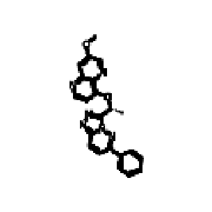 COc1cnc2c(O[C@H](C)c3nnc4ccc(-c5ccccc5)nn34)ccnc2c1